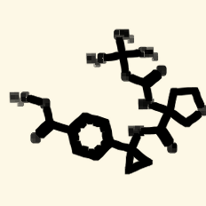 COC(=O)c1ccc(C2(NC(=O)C3(NC(=O)OC(C)(C)C)CCOC3)CC2)cc1